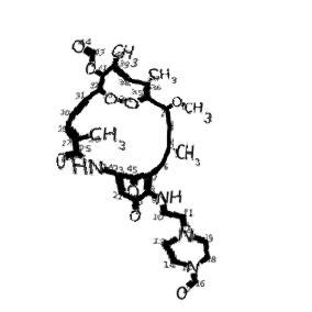 COC1C[C@H](C)CC2=C(NCCN3CCN(C=O)CC3)C(=O)C=C(NC(=O)/C(C)=C/C=C\C3OOC1[C@@H](C)/C=C(\C)C3OC=O)C2=O